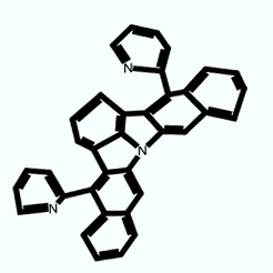 c1ccc(-c2c3ccccc3cc3c2c2cccc4c5c(-c6ccccn6)c6ccccc6cc5n3c24)nc1